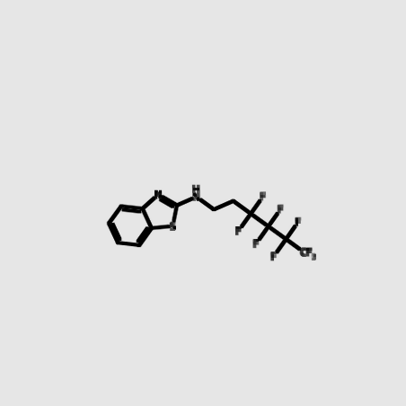 FC(F)(F)C(F)(F)C(F)(F)C(F)(F)CCNc1nc2ccccc2s1